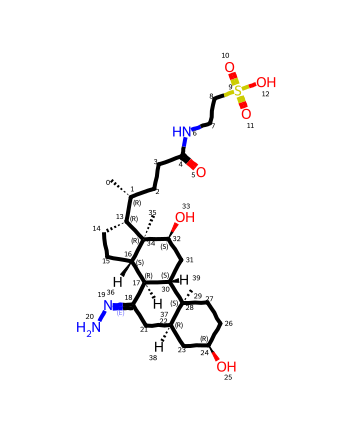 C[C@H](CCC(=O)NCCS(=O)(=O)O)[C@H]1CC[C@H]2[C@@H]3/C(=N/N)C[C@@H]4C[C@H](O)CC[C@]4(C)[C@H]3C[C@H](O)[C@]12C